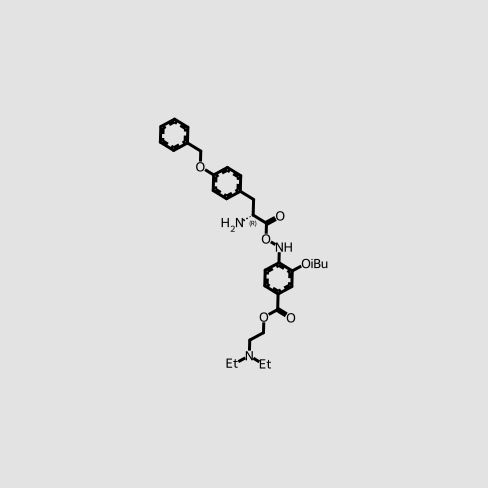 CCN(CC)CCOC(=O)c1ccc(NOC(=O)[C@H](N)Cc2ccc(OCc3ccccc3)cc2)c(OCC(C)C)c1